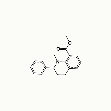 COC(=O)c1cccc2c1N(C)C(c1ccccc1)CC2